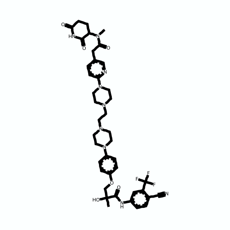 CN(C(=O)Cc1ccc(N2CCN(CCN3CCN(c4ccc(OCC(C)(O)C(=O)Nc5ccc(C#N)c(C(F)(F)F)c5)cc4)CC3)CC2)nc1)C1CCC(=O)NC1=O